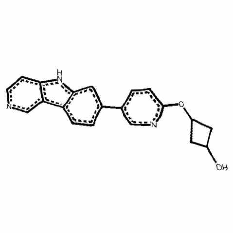 OC1CC(Oc2ccc(-c3ccc4c(c3)[nH]c3ccncc34)cn2)C1